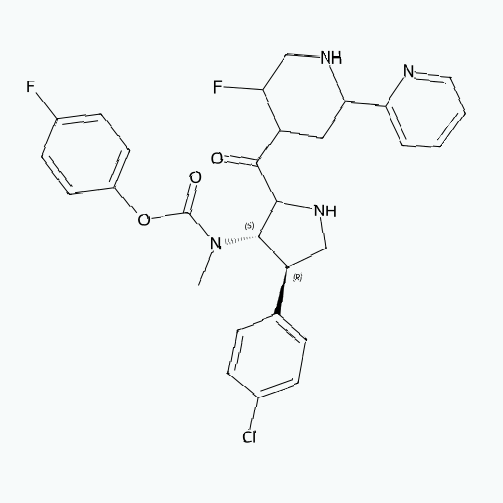 CN(C(=O)Oc1ccc(F)cc1)[C@@H]1C(C(=O)C2CC(c3ccccn3)NCC2F)NC[C@H]1c1ccc(Cl)cc1